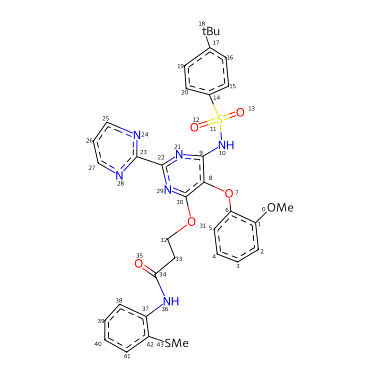 COc1ccccc1Oc1c(NS(=O)(=O)c2ccc(C(C)(C)C)cc2)nc(-c2ncccn2)nc1OCCC(=O)Nc1ccccc1SC